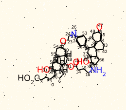 C[C@H](CCC(=O)O)[C@H]1CC[C@H]2[C@@H]3[C@H](OC(=O)CCCN)C[C@@H]4C[C@@H](OCCN(C)c5ccc([C@H]6C[C@@]7(C)C(CC[C@]7(C)O)C7CCC8=CC(=O)CCC8=C76)cc5)CC[C@]4(C)[C@H]3C[C@H](O)[C@]12C